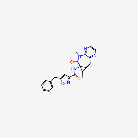 CN1C(=O)C2(NC(=O)c3cc(Cc4ccccc4)on3)C3C(c4nccnc41)C32C